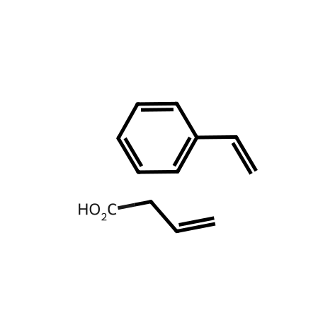 C=CCC(=O)O.C=Cc1ccccc1